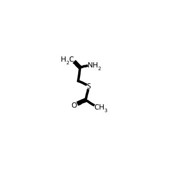 C=C(N)CSC(C)=O